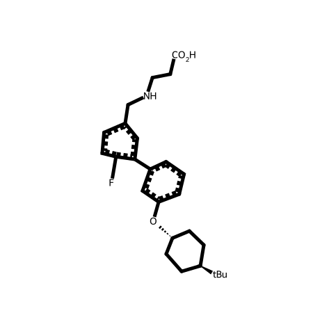 CC(C)(C)[C@H]1CC[C@H](Oc2cccc(-c3cc(CNCCC(=O)O)ccc3F)c2)CC1